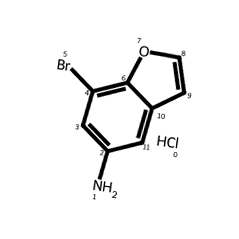 Cl.Nc1cc(Br)c2occc2c1